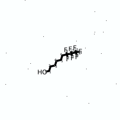 OCCCCCCC(F)(F)C(F)(F)C(F)(F)F